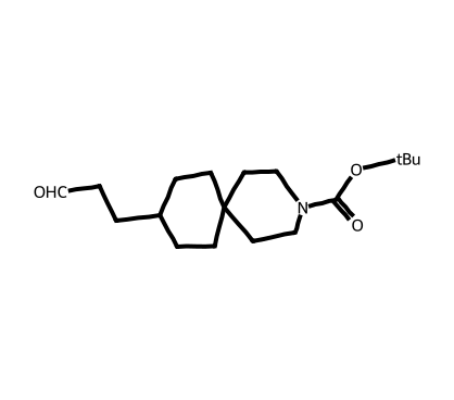 CC(C)(C)OC(=O)N1CCC2(CCC(CCC=O)CC2)CC1